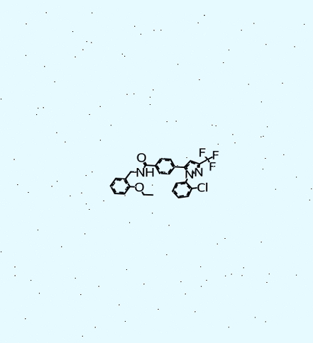 CCOc1ccccc1CNC(=O)c1ccc(-c2cc(C(F)(F)F)nn2-c2ccccc2Cl)cc1